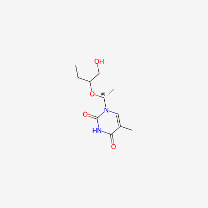 CCC(CO)O[C@H](C)n1cc(C)c(=O)[nH]c1=O